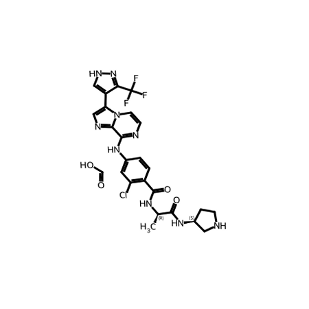 C[C@@H](NC(=O)c1ccc(Nc2nccn3c(-c4c[nH]nc4C(F)(F)F)cnc23)cc1Cl)C(=O)N[C@H]1CCNC1.O=CO